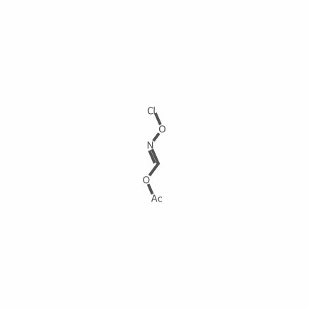 CC(=O)OC=NOCl